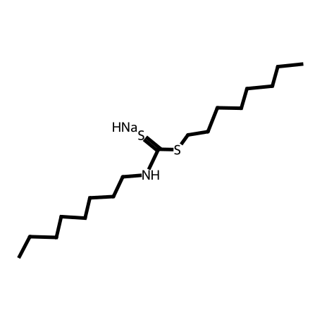 CCCCCCCCNC(=S)SCCCCCCCC.[NaH]